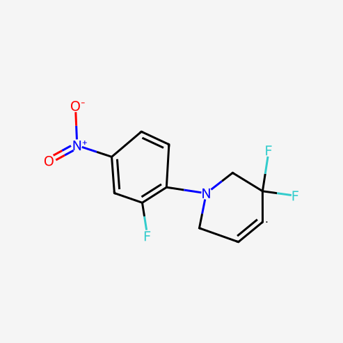 O=[N+]([O-])c1ccc(N2CC=[C]C(F)(F)C2)c(F)c1